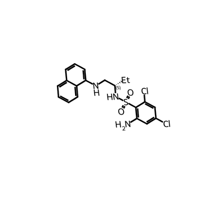 CC[C@@H](CNc1cccc2ccccc12)NS(=O)(=O)c1c(N)cc(Cl)cc1Cl